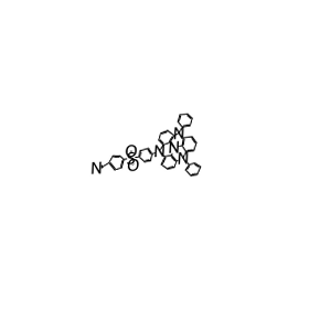 N#Cc1ccc(S(=O)(=O)c2ccc(N3c4cccc5c4N4c6c(cccc6N(c6ccccc6)c6cccc3c64)N5c3ccccc3)cc2)cc1